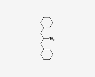 NC(CC1CCCCC1)CC1CCCCC1